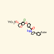 CSc1cccc(C2CCC(NC(=O)c3ccc(Oc4cc5c(cc4Cl)C(OC(=O)O)CCO5)cc3)C2)c1